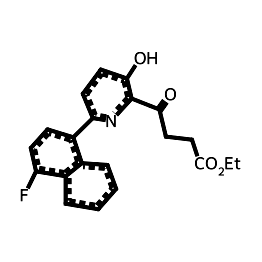 CCOC(=O)CCC(=O)c1nc(-c2ccc(F)c3ccccc23)ccc1O